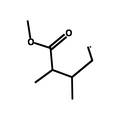 [CH2]CC(C)C(C)C(=O)OC